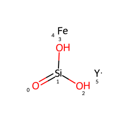 O=[Si](O)O.[Fe].[Y]